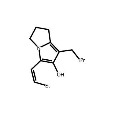 CC/C=C\c1c(O)c(CC(C)C)c2n1CCC2